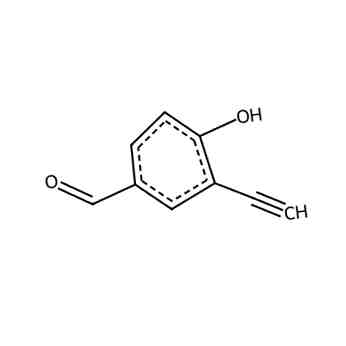 C#Cc1cc(C=O)ccc1O